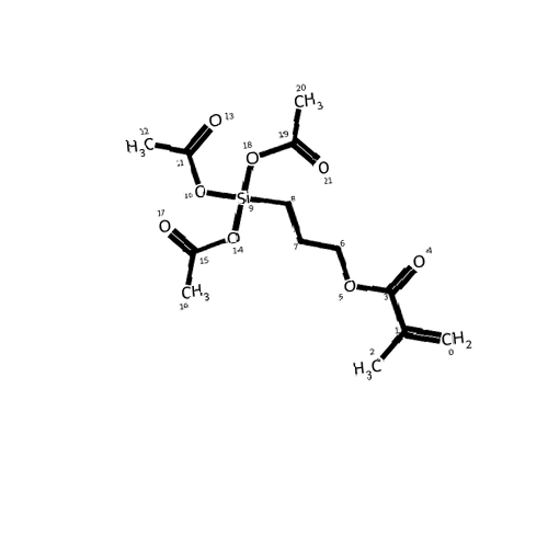 C=C(C)C(=O)OCCC[Si](OC(C)=O)(OC(C)=O)OC(C)=O